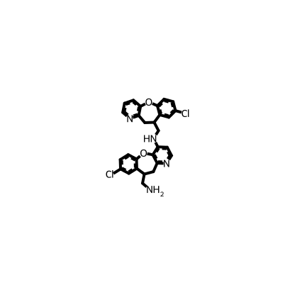 NCC1Cc2nccc(NCC3Cc4ncccc4Oc4ccc(Cl)cc43)c2Oc2ccc(Cl)cc21